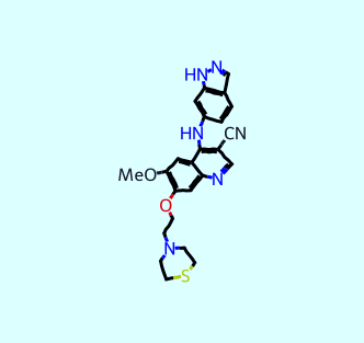 COc1cc2c(Nc3ccc4cn[nH]c4c3)c(C#N)cnc2cc1OCCN1CCSCC1